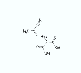 CC(C#N)=CNC(C(=O)O)C(=O)O